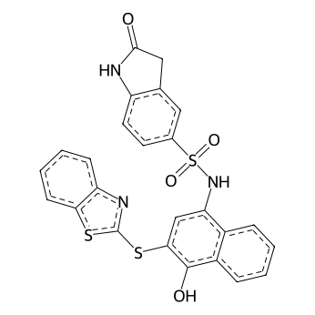 O=C1Cc2cc(S(=O)(=O)Nc3cc(Sc4nc5ccccc5s4)c(O)c4ccccc34)ccc2N1